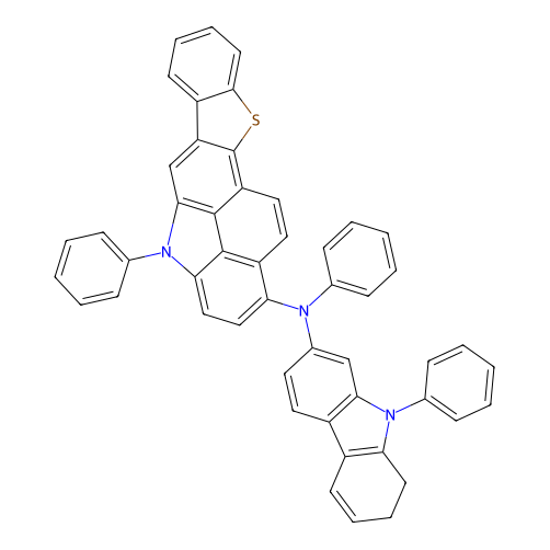 C1=Cc2c(n(-c3ccccc3)c3cc(N(c4ccccc4)c4ccc5c6c4ccc4c7sc8ccccc8c7cc(c46)n5-c4ccccc4)ccc23)CC1